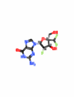 Nc1nc2c(ncn2[C@@H]2O[C@@](CO)(C(F)F)[C@@H](O)[C@@H]2F)c(=O)[nH]1